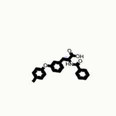 Cc1ccc(Oc2cccc(/C=C(\NC(=O)c3ccccc3)C(=O)O)c2)cc1